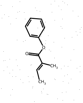 C/C=C(\C)C(=O)Oc1ccccc1